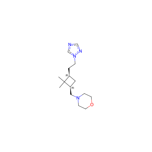 CC1(C)[C@@H](CCn2cncn2)C[C@H]1CN1CCOCC1